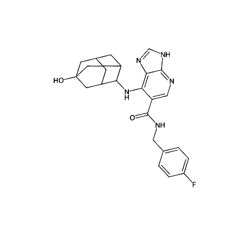 O=C(NCc1ccc(F)cc1)c1cnc2[nH]cnc2c1NC1C2CC3CC1CC(O)(C3)C2